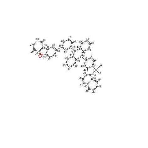 CC1(C)c2ccc(-c3c4ccccc4c(-c4cccc(-c5ccc6oc7ccccc7c6c5)c4)c4ccccc34)cc2-c2ccc3ccccc3c21